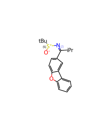 CC(C)/C(=N/[S@+]([O-])C(C)(C)C)c1ccc2oc3ccccc3c2c1